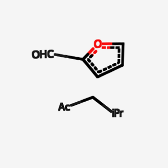 CC(=O)CC(C)C.O=Cc1ccco1